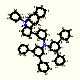 c1ccc(-c2cc(-c3ccccc3)cc(N(c3cc(-c4ccccc4)cc(-c4ccccc4)c3)c3cccc(-c4cccc5c4c4cc6ccccc6cc4n5-c4ccccc4)c3)c2)cc1